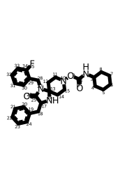 O=C(NC1CCCCC1)ON1CCC2(CC1)NC(Cc1ccccc1)C(=O)N2Cc1ccccc1F